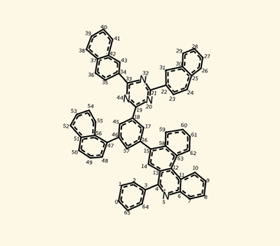 c1ccc(-c2nc3ccccc3c3c2cc(-c2cc(-c4nc(-c5ccc6ccccc6c5)nc(-c5ccc6ccccc6c5)n4)cc(-c4cccc5ccccc45)c2)c2ccccc23)cc1